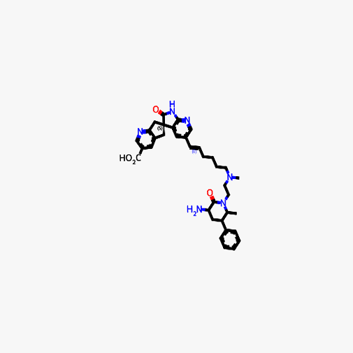 CC1C(c2ccccc2)CC(N)C(=O)N1CCN(C)CCCC/C=C/c1cnc2c(c1)[C@@]1(Cc3cc(C(=O)O)cnc3C1)C(=O)N2